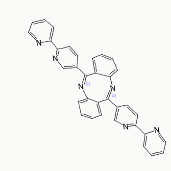 c1ccc(-c2ccc(/C3=N/c4ccccc4/C(c4ccc(-c5ccccn5)nc4)=N\c4ccccc43)cn2)nc1